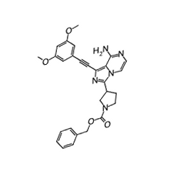 COc1cc(C#Cc2nc(C3CCN(C(=O)OCc4ccccc4)C3)n3ccnc(N)c23)cc(OC)c1